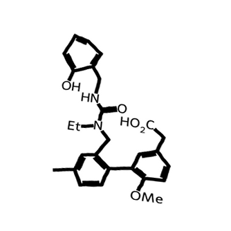 CCN(Cc1cc(C)ccc1-c1cc(CC(=O)O)ccc1OC)C(=O)NCc1ccccc1O